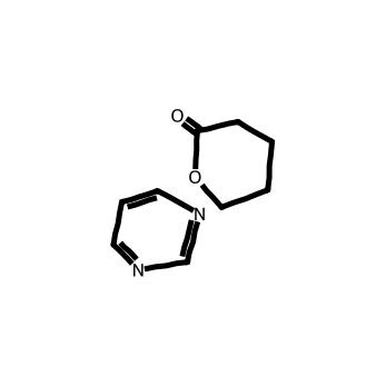 O=C1CCCCO1.c1cncnc1